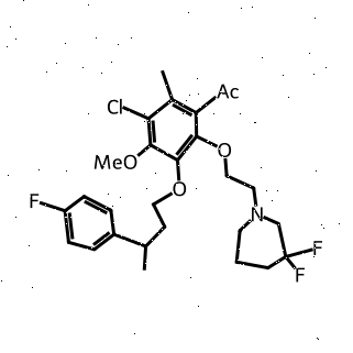 COc1c(Cl)c(C)c(C(C)=O)c(OCCN2CCCC(F)(F)C2)c1OCCC(C)c1ccc(F)cc1